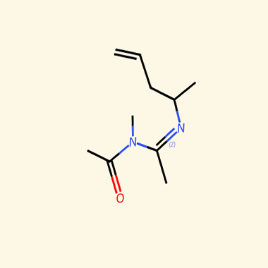 C=CCC(C)/N=C(/C)N(C)C(C)=O